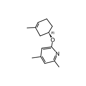 CC1=CCC[C@@H](Oc2cc(C)cc(C)n2)C1